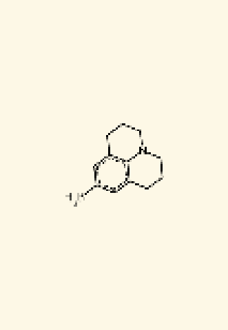 Bc1cc2c3c(c1)CCCN3CCC2